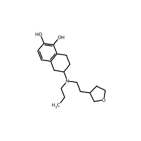 CCCN(CCC1CCOC1)C1CCc2c(ccc(O)c2O)C1